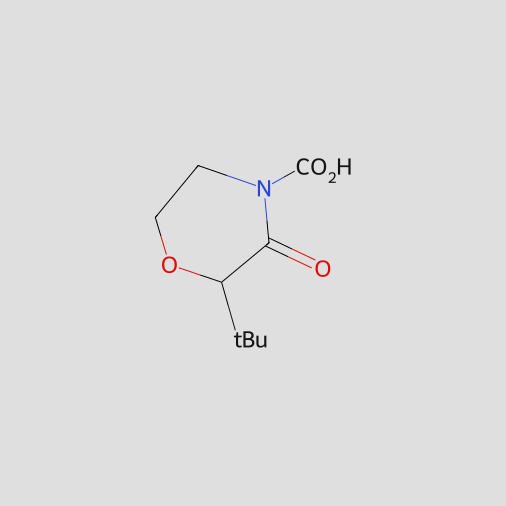 CC(C)(C)C1OCCN(C(=O)O)C1=O